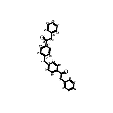 O=C(Cc1ccccc1)c1ccc(Cc2ccc(C(=O)Cc3ccccc3)cc2)cc1